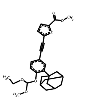 CCOC(OC)Oc1ccc(C#Cc2ccc(C(=O)OC)s2)cc1C12CC3CC(CC(C3)C1)C2